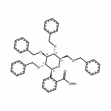 COC(=O)c1ccccc1[C@@H]1O[C@H](COCc2ccccc2)[C@@H](OCc2ccccc2)[C@H](OCc2ccccc2)[C@H]1OCc1ccccc1